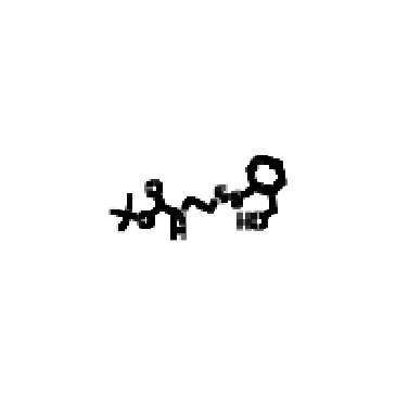 CC(C)(C)OC(=O)NCCSSc1ccccc1CO